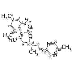 Cc1cc(C)c(C2=C(O)CC(C(C)CSc3cnc(C)cn3)OC2=O)c(C)c1